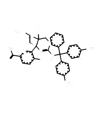 COCC[C@]1(c2nc(C(N)=O)ccc2F)N=C(NC(c2ccccc2)(c2ccc(OC)cc2)c2ccc(OC)cc2)OCC1(F)F